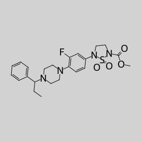 CCC(c1ccccc1)N1CCN(c2ccc(N3CCN(C(=O)OC)S3(=O)=O)cc2F)CC1